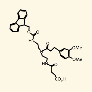 COc1ccc(CCC(=O)N(CCNC(=O)CCC(=O)O)CCNC(=O)OCC2c3ccccc3-c3ccccc32)cc1OC